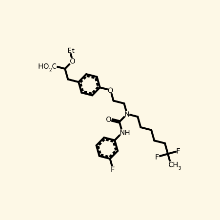 CCOC(Cc1ccc(OCCN(CCCCCC(C)(F)F)C(=O)Nc2cccc(F)c2)cc1)C(=O)O